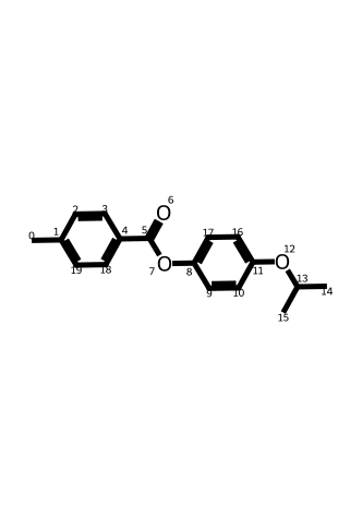 Cc1ccc(C(=O)Oc2ccc(OC(C)C)cc2)cc1